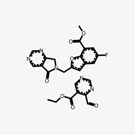 CCOC(=O)c1cncnc1C=O.COC(=O)c1cc(F)cc2cc(CN3Cc4ncncc4C3=O)oc12